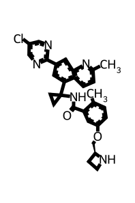 Cc1ccc2c(C3(NC(=O)c4cc(OC[C@@H]5CCN5)ccc4C)CC3)cc(-c3ncc(Cl)cn3)cc2n1